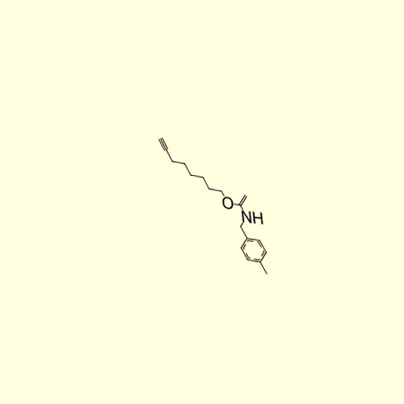 C#CCCCCCCOC(=C)NCc1ccc(C)cc1